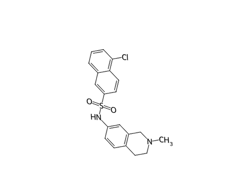 CN1CCc2ccc(NS(=O)(=O)c3ccc4c(Cl)cccc4c3)cc2C1